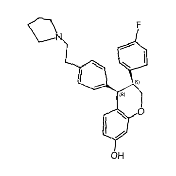 Oc1ccc2c(c1)OC[C@H](c1ccc(F)cc1)[C@@H]2c1ccc(CCN2CCCC2)cc1